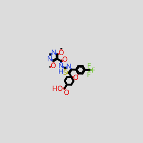 COc1ncnc(OC)c1C(=O)Nc1nc2c(s1)C1(CCC(C(=O)O)CC1)Oc1cc(C(F)(F)F)ccc1-2